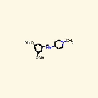 COc1cc(CNC2CCN(C)CC2)cc(OC)c1